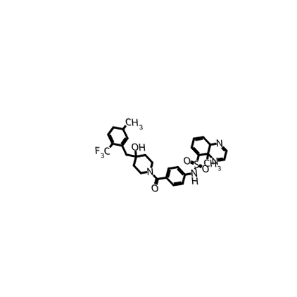 CC1C=C(CC2(O)CCN(C(=O)c3ccc(NS(=O)(=O)C4=CC=CC5N=CC=NC45C)cc3)CC2)C(C(F)(F)F)=CC1